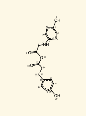 O=C(CNc1ccc(O)cc1)OC(=O)CNc1ccc(O)cc1